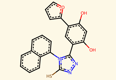 Oc1cc(O)c(-c2nnc(S)n2-c2cccc3ccccc23)cc1-c1ccco1